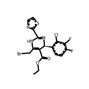 CCOC(=O)C1=C(CBr)NC(c2nccs2)=N[C@H]1c1ccc(F)c(F)c1Cl